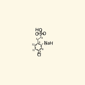 O=S(=O)(O)CCc1ccc(Cl)cc1.[NaH]